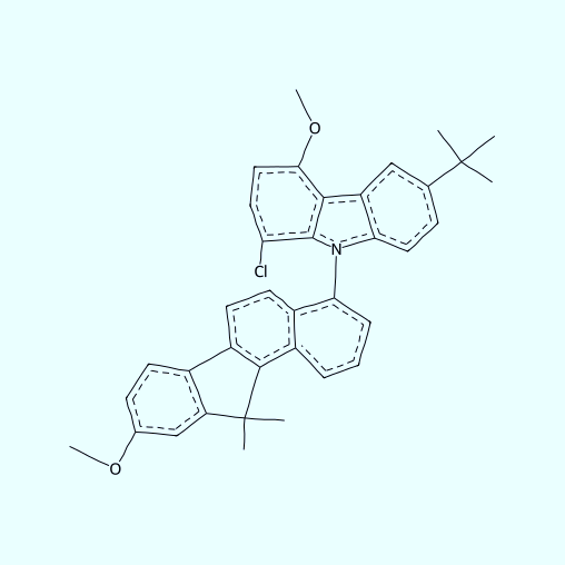 COc1ccc2c(c1)C(C)(C)c1c-2ccc2c(-n3c4ccc(C(C)(C)C)cc4c4c(OC)ccc(Cl)c43)cccc12